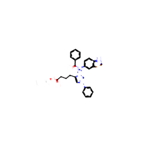 COC(=O)CCCC1=CN(c2ccccc2)CN1N(C(=O)c1ccccc1)c1ccc2ncsc2c1